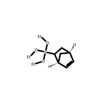 CCO[Si](OCC)(OCC)C1C[C@H]2C=C[C@@H]1C2